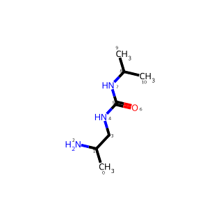 CC(N)CNC(=O)NC(C)C